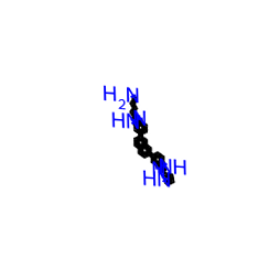 NCCCCc1nc2ccc(-c3ccc4ccc(-c5ccc6[nH]c([C@@H]7CCCN7)nc6c5)cc4c3)cc2[nH]1